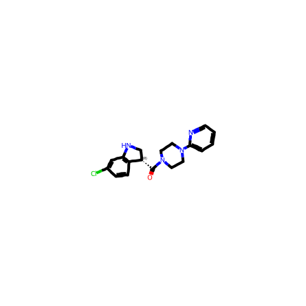 O=C([C@H]1CNc2cc(Cl)ccc21)N1CCN(c2ccccn2)CC1